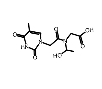 Cc1cn(CC(=O)N(CC(=O)O)C(C)O)c(=O)[nH]c1=O